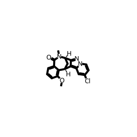 COc1cccc2c1[C@H]1C[C@H](c3nn4ccc(Cl)cc4c31)N(C)C2=O